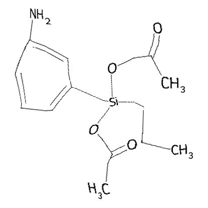 CCC[Si](OC(C)=O)(OC(C)=O)c1cccc(N)c1